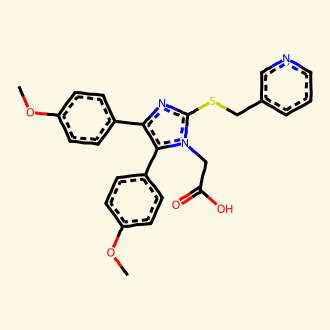 COc1ccc(-c2nc(SCc3cccnc3)n(CC(=O)O)c2-c2ccc(OC)cc2)cc1